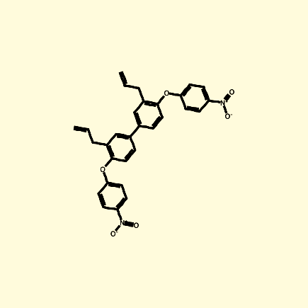 C=CCc1cc(-c2ccc(Oc3ccc([N+](=O)[O-])cc3)c(CC=C)c2)ccc1Oc1ccc([N+](=O)[O-])cc1